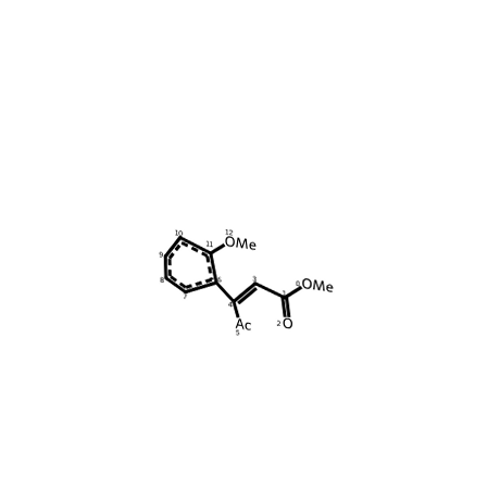 COC(=O)C=C(C(C)=O)c1ccccc1OC